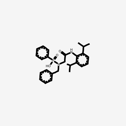 CC(C)c1cccc(C(C)C)c1NC(=O)CN(Cc1ccccc1)P(=O)(O)c1ccccc1